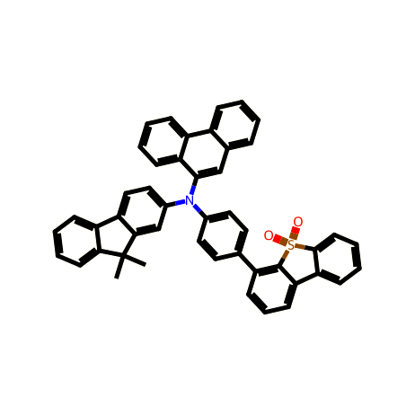 CC1(C)c2ccccc2-c2ccc(N(c3ccc(-c4cccc5c4S(=O)(=O)c4ccccc4-5)cc3)c3cc4ccccc4c4ccccc34)cc21